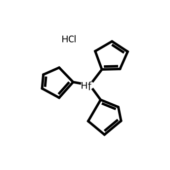 C1=CC[C]([Hf]([C]2=CC=CC2)[C]2=CC=CC2)=C1.Cl